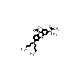 CCCCN(CCCC)c1ccc2c(c1)Sc1cc(N(C)C(C)=O)ccc1N2C(C)=O